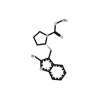 CC(C)(C)OC(=O)N1CCC[C@H]1Cc1c(Br)oc2ccccc12